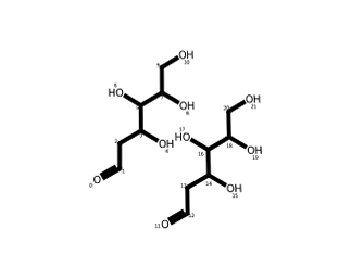 O=CCC(O)C(O)C(O)CO.O=CCC(O)C(O)C(O)CO